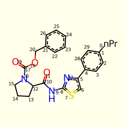 CCCc1ccc(-c2csc(NC(=O)C3CCCN3C(=O)OCc3ccccc3)n2)cc1